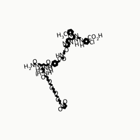 Cc1cccc(-c2nc(CNc3ccc(Cl)c(C(=O)O)c3)[nH]c2-c2ccc3ncc(OCCNC(=O)OCc4ccc(NC(=O)C(CCCNC(N)=O)NC(=O)[C@@H](NC(=O)CCOCCOCCOCCOCCN5C(=O)C=CC5=O)C(C)C)cc4)cc3n2)n1